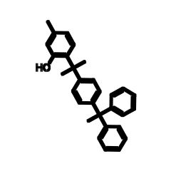 Cc1ccc(C(C)(C)c2ccc(C(C)(c3ccccc3)c3ccccc3)cc2)c(O)c1